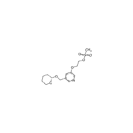 CS(=O)(=O)OCCOc1cncc(COC2CCCCO2)c1